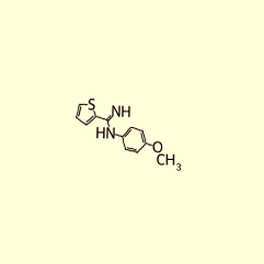 COc1ccc(NC(=N)c2cccs2)cc1